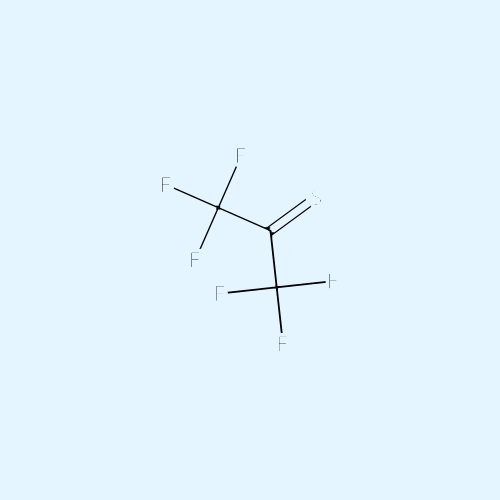 FC(F)(F)C(=S)C(F)(F)F